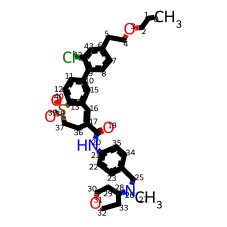 CCCOCCc1ccc(-c2ccc3c(c2)C=C(C(=O)Nc2ccc(CN(C)C4CCOCC4)cc2)CCS3(=O)=O)c(Cl)c1